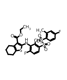 CCOC(=O)c1c(Nc2c(F)ccc(S(=O)(=O)S(=O)(=O)c3ccc(F)cc3C)c2C)sc2c1CCCC2